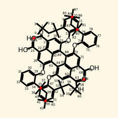 CC(C)(C)CC(C)(C)c1ccccc1Oc1cc(C(=O)O)c2c(C(=O)O)cc(Oc3ccccc3C(C)(C)CC(C)(C)C)c3c4c(Oc5ccccc5C(C)(C)CC(C)(C)C)cc(C(=O)O)c5c(C(=O)O)cc(Oc6ccccc6C(C)(C)CC(C)(C)C)c(c1c23)c54